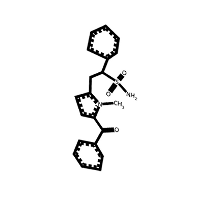 Cn1c(CC(c2ccccc2)S(N)(=O)=O)ccc1C(=O)c1ccccc1